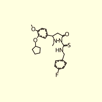 COc1ccc(C2CC(=O)N(C(=S)NCc3ccc(F)cc3)N2C)cc1OC1CCCC1